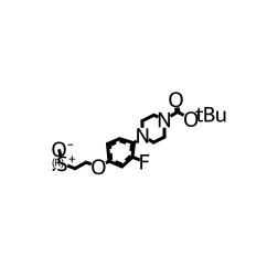 C[S@+]([O-])CCOc1ccc(N2CCN(C(=O)OC(C)(C)C)CC2)c(F)c1